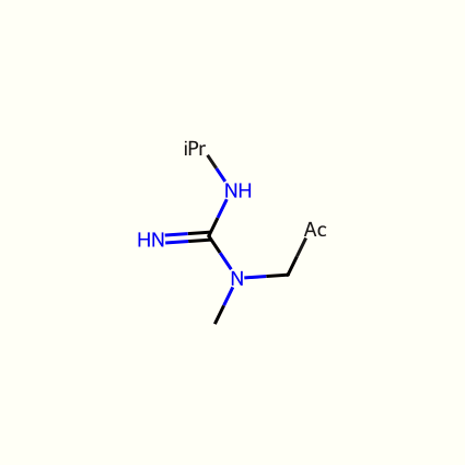 CC(=O)CN(C)C(=N)NC(C)C